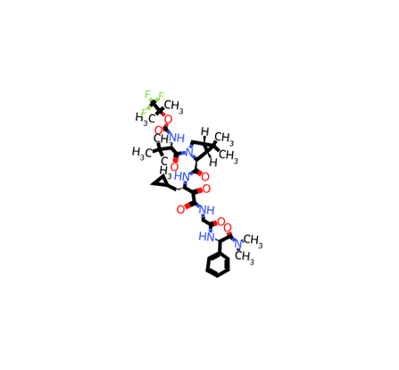 CN(C)C(=O)[C@@H](NC(=O)CNC(=O)C(=O)[C@H](CC1CC1)NC(=O)[C@@H]1[C@@H]2[C@H](CN1C(=O)[C@@H](NC(=O)OC(C)(C)C(F)(F)F)C(C)(C)C)C2(C)C)c1ccccc1